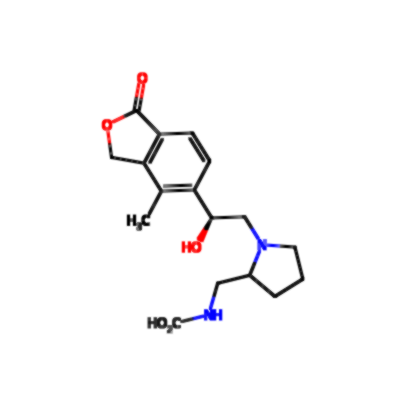 Cc1c([C@H](O)CN2CCCC2CNC(=O)O)ccc2c1COC2=O